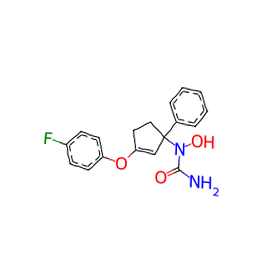 NC(=O)N(O)C1(c2ccccc2)C=C(Oc2ccc(F)cc2)CC1